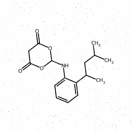 CC(C)CC(C)c1ccccc1NC1OC(=O)CC(=O)O1